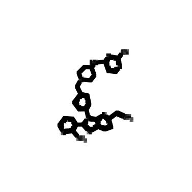 C=Cc1ccc2nc(-c3cccnc3N)n(-c3ccc(CN4CCC(Nc5ccnc(C#N)n5)CC4)cc3)c2n1